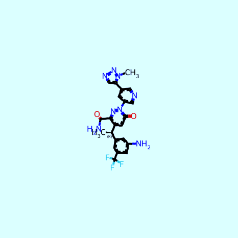 C[C@H](c1cc(N)cc(C(F)(F)F)c1)c1cc(=O)n(-c2cncc(-c3cnnn3C)c2)nc1C(N)=O